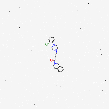 O=C(CCCN1CCN(c2ccccc2Cl)CC1)N1CCc2ccccc2C1